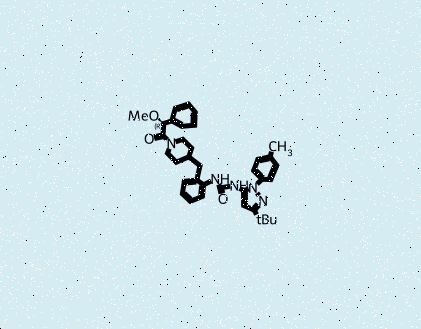 CO[C@@H](C(=O)N1CCC(Cc2ccccc2NC(=O)Nc2cc(C(C)(C)C)nn2-c2ccc(C)cc2)CC1)c1ccccc1